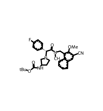 COc1c(C#N)cc2ccccc2c1CN(C)C(=O)[C@@H](c1ccc(F)cc1)N1CCC(NC(=O)OC(C)(C)C)C1